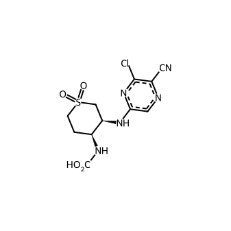 N#Cc1ncc(N[C@@H]2CS(=O)(=O)CC[C@@H]2NC(=O)O)nc1Cl